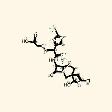 Nc1nc(C(=NOCC(=O)O)C(=O)NC2C(=O)N3CC(C=CCl)(C(=O)O)CS[C@H]23)cs1